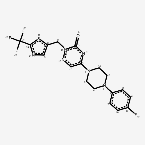 O=c1nc(N2CCN(c3ccc(F)cc3)CC2)cnn1Cc1cnc(C(F)(F)F)s1